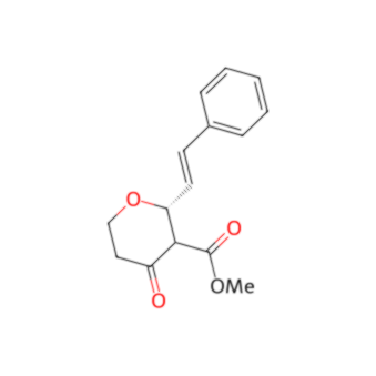 COC(=O)C1C(=O)CCO[C@@H]1/C=C/c1ccccc1